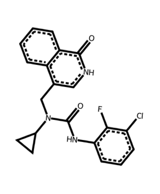 O=C(Nc1cccc(Cl)c1F)N(Cc1c[nH]c(=O)c2ccccc12)C1CC1